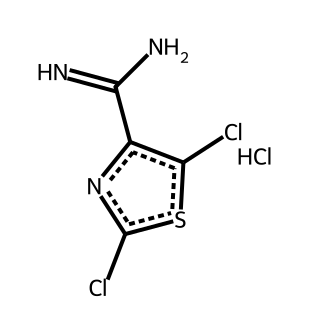 Cl.N=C(N)c1nc(Cl)sc1Cl